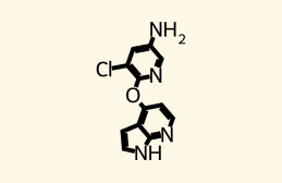 Nc1cnc(Oc2ccnc3[nH]ccc23)c(Cl)c1